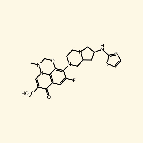 CN1COc2c(N3CCN4C[C@@H](Nc5nccs5)CC4C3)c(F)cc3c(=O)c(C(=O)O)cn1c23